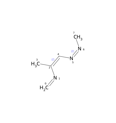 C=N/C(C)=C\N=N/C